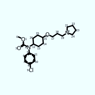 COC(=O)N(c1ccc(Cl)cc1)C1CCC(OCCCN2CCCC2)CC1